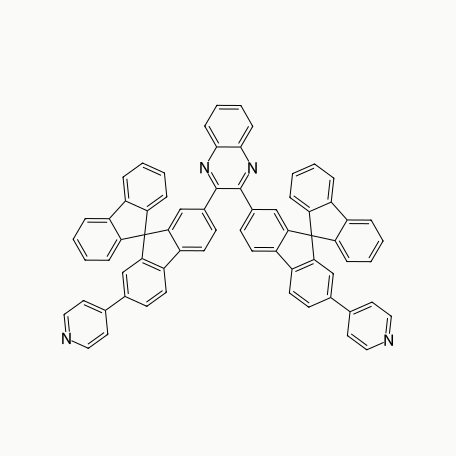 c1ccc2c(c1)-c1ccccc1C21c2cc(-c3ccncc3)ccc2-c2ccc(-c3nc4ccccc4nc3-c3ccc4c(c3)C3(c5ccccc5-c5ccccc53)c3cc(-c5ccncc5)ccc3-4)cc21